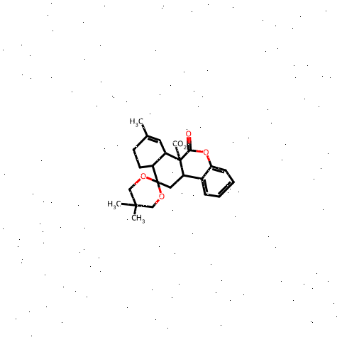 CC1=CC2C(CC1)C1(CC3c4ccccc4OC(=O)C32C(=O)O)OCC(C)(C)CO1